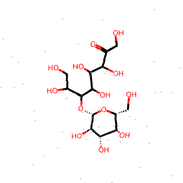 O=C(CO)C(O)C(O)C(O)C(O[C@@H]1O[C@H](CO)[C@H](O)[C@H](O)[C@H]1O)C(O)CO